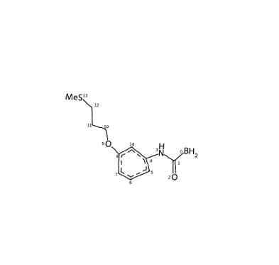 BC(=O)Nc1cccc(OCCCSC)c1